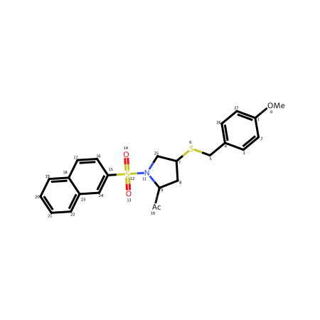 COc1ccc(CSC2CC(C(C)=O)N(S(=O)(=O)c3ccc4ccccc4c3)C2)cc1